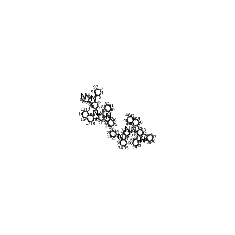 c1ccc(-n2c3ccc(-n4c5c6ccccc6ccc5c5cc6c7cc(-c8cccc(-n9c%10ccccc%10c%10cc(-n%11c%12c%13ccccc%13ccc%12c%12cc%13c%14ccccc%14n%14c%15ccccc%15c(c%12%11)c%13%14)ncc%109)c8)ccc7n7c8ccccc8c(c54)c67)cc3c3ccncc32)cc1